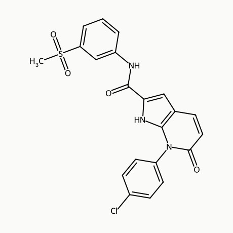 CS(=O)(=O)c1cccc(NC(=O)c2cc3ccc(=O)n(-c4ccc(Cl)cc4)c3[nH]2)c1